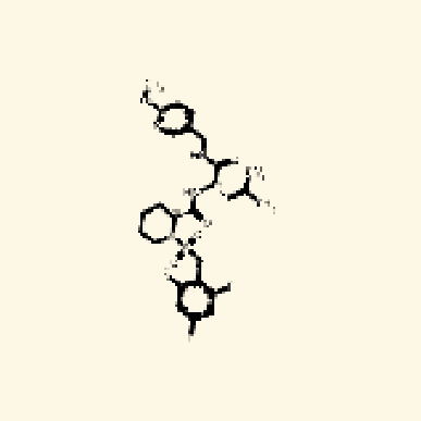 COc1ccc(CNC(=O)[C@H](CC(C)C)NC(=O)[C@@H]2CCCCN2S(=O)(=O)Cc2c(F)cc(F)cc2F)cn1